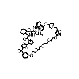 CN[C@@H](C)C(=O)N[C@H](C(=O)N1CCC[C@H]1c1nc(C(=O)c2cccc(OCCOCCOCCOCCOc3cc(CN4CCC(Oc5ccnc6ccsc56)CC4)on3)c2)cs1)C1CCCCC1